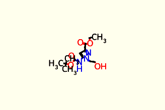 CCOC(=O)c1cc(NC(=O)OC(C)(C)C)n(CCO)n1